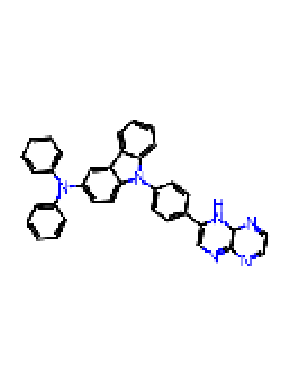 C1=NC2=NC=C(c3ccc(-n4c5ccccc5c5cc(N(c6ccccc6)c6ccccc6)ccc54)cc3)NC2N=C1